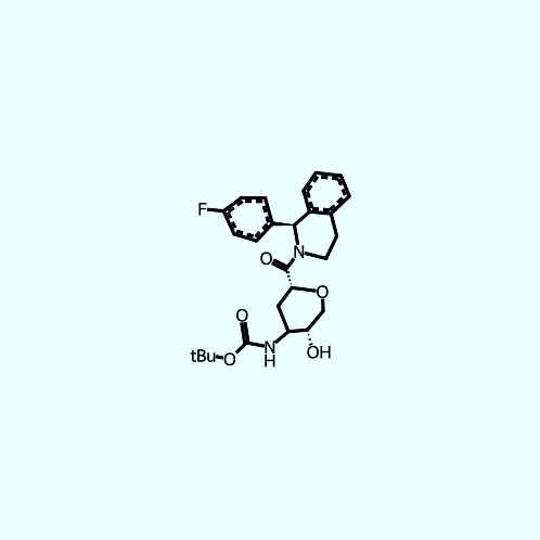 CC(C)(C)OC(=O)NC1C[C@H](C(=O)N2CCc3ccccc3[C@@H]2c2ccc(F)cc2)OC[C@@H]1O